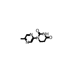 Cc1cnc(N2CCC(=O)NC2=O)cn1